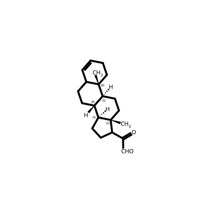 C[C@]12CCC=CC1CC[C@@H]1[C@@H]2CC[C@]2(C)C(C(=O)C=O)CC[C@@H]12